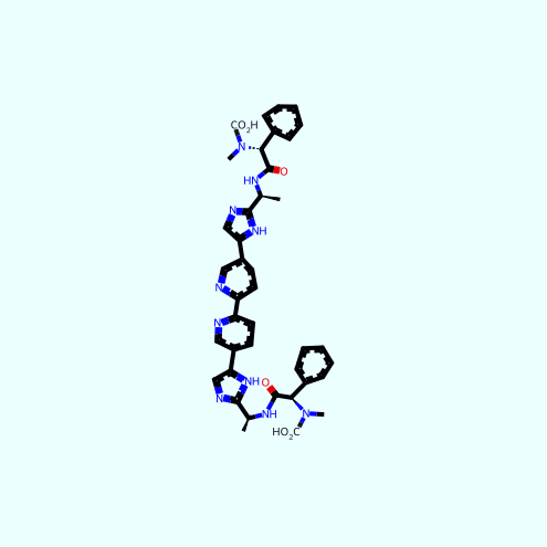 C[C@H](NC(=O)[C@@H](c1ccccc1)N(C)C(=O)O)c1ncc(-c2ccc(-c3ccc(-c4cnc([C@H](C)NC(=O)[C@@H](c5ccccc5)N(C)C(=O)O)[nH]4)cn3)nc2)[nH]1